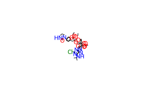 C#C[C@@]1(OC(C)=O)[C@@H](COC(Cc2ccc(N3CCCNC3=O)cc2)(C(=O)OCC)C(=O)OCC)O[C@@H](n2cnc3c(NC(C)C)nc(Cl)nc32)[C@@H]1OC(C)=O